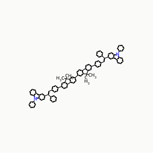 CC1(C)c2cc(-c3ccc(/C=C(\c4ccccc4)c4ccc5c(c4)c4ccccc4n5-c4ccccc4)cc3)ccc2-c2ccc(-c3ccc4c(c3)C(C)(C)c3cc(-c5ccc(/C=C(\c6ccccc6)c6ccc7c(c6)c6ccccc6n7-c6ccccc6)cc5)ccc3-4)cc21